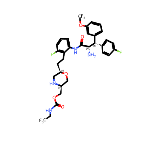 N[C@H](C(=O)Nc1cccc(F)c1CC[C@@H]1CN[C@H](COC(=O)NCC(F)(F)F)CO1)[C@@H](c1ccc(F)cc1)c1cccc(OC(F)(F)F)c1